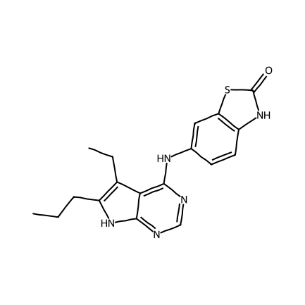 CCCc1[nH]c2ncnc(Nc3ccc4[nH]c(=O)sc4c3)c2c1CC